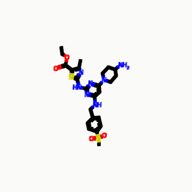 CCOC(=O)c1sc(Nc2nc(NCc3ccc(S(C)(=O)=O)cc3)cc(N3CCC(N)CC3)n2)nc1C